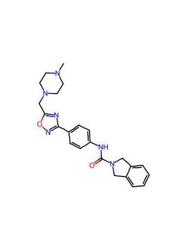 CN1CCN(Cc2nc(-c3ccc(NC(=O)N4Cc5ccccc5C4)cc3)no2)CC1